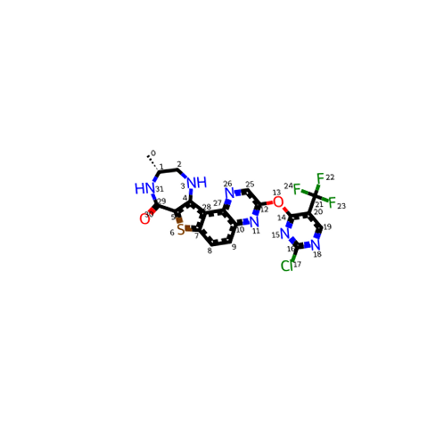 C[C@@H]1CNc2c(sc3ccc4nc(Oc5nc(Cl)ncc5C(F)(F)F)cnc4c23)C(=O)N1